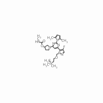 CNC(=O)O[C@@H]1CCN(c2cc(-c3c(F)cnn3COCC[Si](C)(C)C)nc(-n3c(C)ccc3C)n2)C1